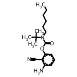 CCCCCCN(C(=O)Oc1cccc(N)c1C#N)C(C)(C)C